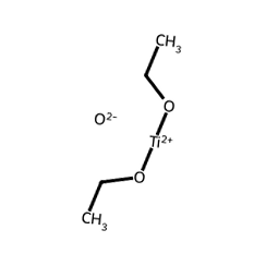 CC[O][Ti+2][O]CC.[O-2]